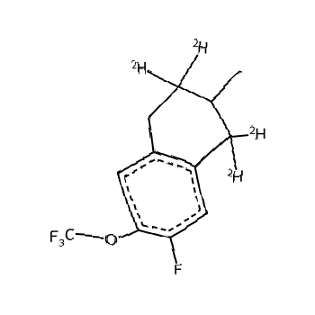 [2H]C1([2H])Cc2cc(OC(F)(F)F)c(F)cc2C([2H])([2H])C1C